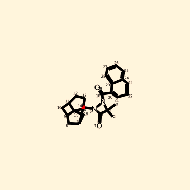 CC1(C)C(=O)N(C2C3CC4CC5CC2CC45C3)N1C(=O)c1cccc2ccccc12